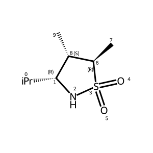 CC(C)[C@H]1NS(=O)(=O)[C@H](C)[C@H]1C